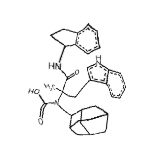 CC(Cc1c[nH]c2ccccc12)(C(=O)NC1CCc2ccccc21)N(C(=O)O)C1C2CC3CC(C2)CC1C3